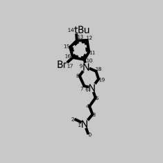 CN(C)CCCN1CCN(c2ccc(C(C)(C)C)cc2Br)CC1